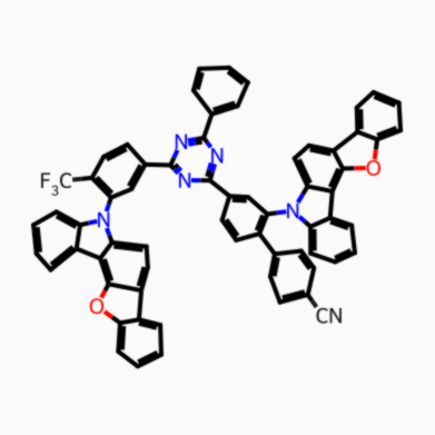 N#Cc1ccc(-c2ccc(-c3nc(-c4ccccc4)nc(-c4ccc(C(F)(F)F)c(-n5c6ccccc6c6c7oc8ccccc8c7ccc65)c4)n3)cc2-n2c3ccccc3c3c4oc5ccccc5c4ccc32)cc1